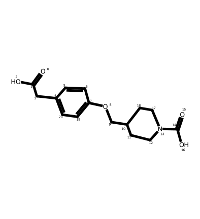 O=C(O)Cc1ccc(OCC2CCN(C(=O)O)CC2)cc1